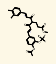 COC(=O)CCC(C(=O)/C=C/c1ccc(C)c(C)c1)C(=O)/C=C/c1ccc(OC(C)=O)c(OC(F)(F)F)c1